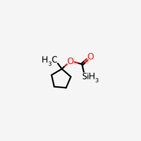 CC1(OC(=O)[SiH3])CCCC1